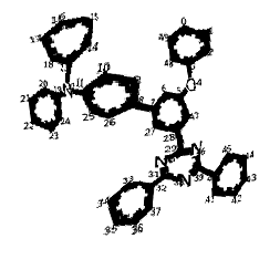 c1ccc(Oc2cc(-c3ccc(N(c4ccccc4)c4ccccc4)cc3)cc(-c3nc(-c4ccccc4)nc(-c4ccccc4)n3)c2)cc1